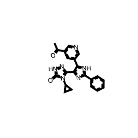 CC(=O)c1cncc(-c2[nH]c(-c3ccccc3)nc2-c2n[nH]c(=O)n2C2CC2)c1